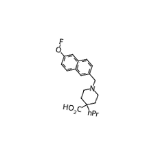 CCCC1(C(=O)O)CCN(Cc2ccc3cc(OF)ccc3c2)CC1